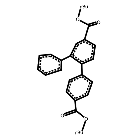 CCCCOC(=O)c1ccc(-c2ccc(C(=O)OCCCC)cc2-c2ccccc2)cc1